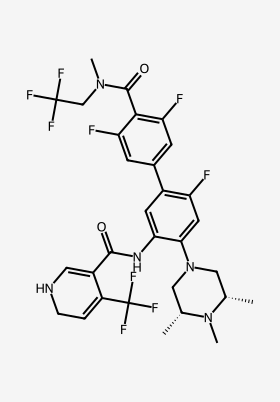 C[C@@H]1CN(c2cc(F)c(-c3cc(F)c(C(=O)N(C)CC(F)(F)F)c(F)c3)cc2NC(=O)C2=CNCC=C2C(F)(F)F)C[C@H](C)N1C